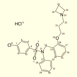 Cl.O=S(=O)(c1ccc(Cl)cc1)N(Cc1ccccc1OCCCN1CCC1)c1ccccc1